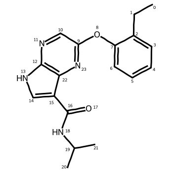 CCc1ccccc1Oc1cnc2[nH]cc(C(=O)NC(C)C)c2n1